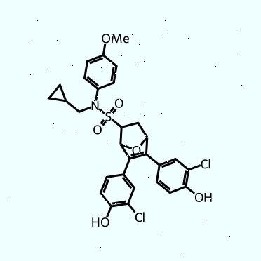 COc1ccc(N(CC2CC2)S(=O)(=O)C2CC3OC2C(c2ccc(O)c(Cl)c2)=C3c2ccc(O)c(Cl)c2)cc1